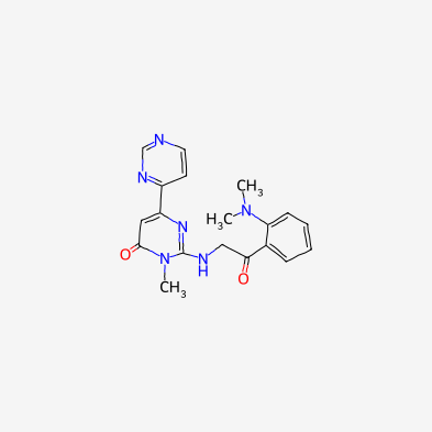 CN(C)c1ccccc1C(=O)CNc1nc(-c2ccncn2)cc(=O)n1C